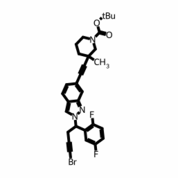 CC1(C#Cc2ccc3cn(C(CC#CBr)c4cc(F)ccc4F)nc3c2)CCCN(C(=O)OC(C)(C)C)C1